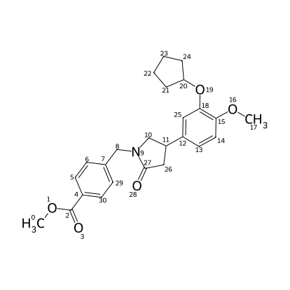 COC(=O)c1ccc(CN2CC(c3ccc(OC)c(OC4CCCC4)c3)CC2=O)cc1